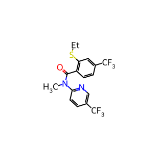 CCSc1cc(C(F)(F)F)ccc1C(=O)N(C)c1ccc(C(F)(F)F)cn1